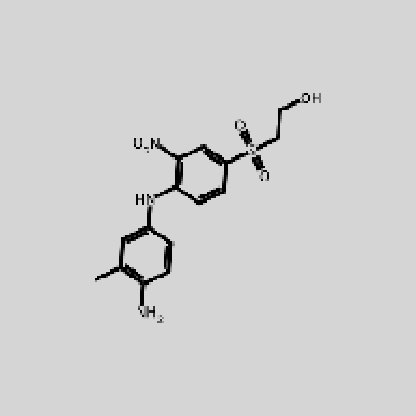 Cc1cc(Nc2ccc(S(=O)(=O)CCO)cc2[N+](=O)[O-])ccc1N